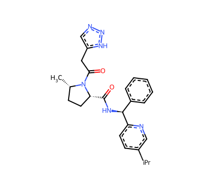 CC(C)c1ccc([C@@H](NC(=O)[C@@H]2CC[C@H](C)N2C(=O)Cc2cnn[nH]2)c2ccccc2)nc1